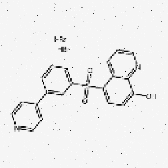 Br.Br.O=S(=O)(c1cccc(-c2ccncc2)c1)c1ccc(O)c2ncccc12